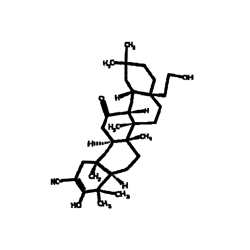 CC1(C)CC[C@]2(CCO)CC[C@]3(C)[C@H](C(=O)C[C@@H]4[C@@]5(C)CC(C#N)=C(O)C(C)(C)[C@@H]5CC[C@]43C)[C@@H]2C1